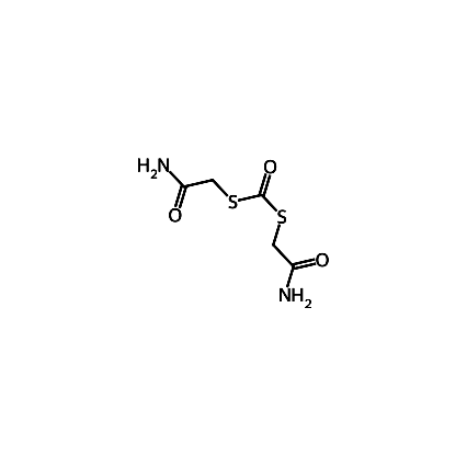 NC(=O)CSC(=O)SCC(N)=O